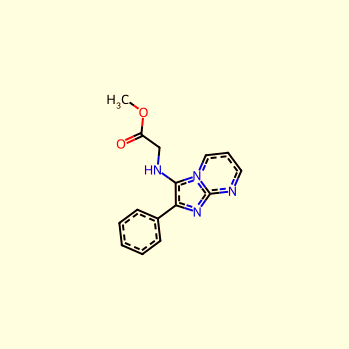 COC(=O)CNc1c(-c2ccccc2)nc2ncccn12